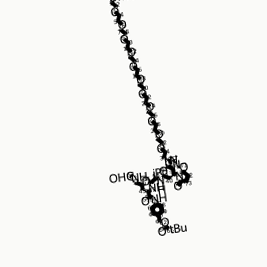 COCCOCCOCCOCCOCCOCCOCCOCCOCCOCCOCCOCCn1cc([C@H](CC(=O)N[C@H](C(=O)N[C@@H](CCCNC=O)C(=O)Nc2ccc(COC(=O)C(C)(C)C)cc2)C(C)C)N2C(=O)C=CC2=O)nn1